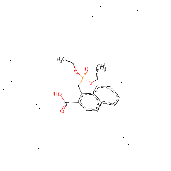 CCOP(=O)(Cc1c(C(=O)O)ccc2ccccc12)OCC